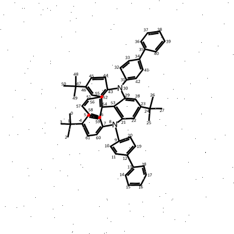 CC(C)(C)c1ccc(N(c2ccc(-c3ccccc3)cc2)c2cc(C(C)(C)C)cc(N(c3ccc(-c4ccccc4)cc3)c3ccc(C(C)(C)C)cc3)c2-c2ccccc2)cc1